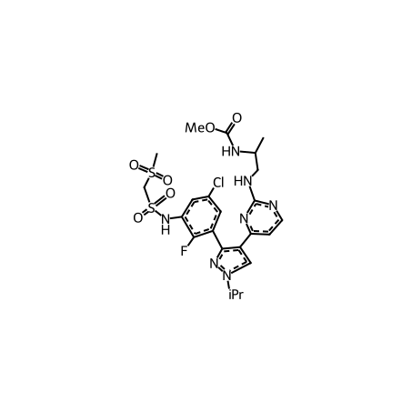 COC(=O)NC(C)CNc1nccc(-c2cn(C(C)C)nc2-c2cc(Cl)cc(NS(=O)(=O)CS(C)(=O)=O)c2F)n1